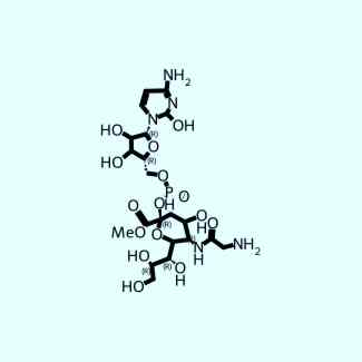 COC(=O)[C@]1(O[PH](=O)OC[C@H]2O[C@@H](N3C=CC(N)=NC3O)C(O)C2O)CC(O)[C@@H](NC(=O)CN)C([C@H](O)[C@H](O)CO)O1